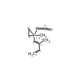 C=C/C(C)=C/P1(C)(N=[N+]=[N-])CC1